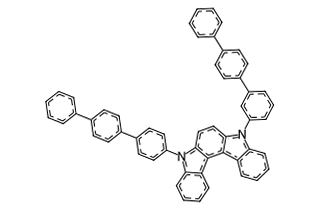 c1ccc(-c2ccc(-c3ccc(-n4c5ccccc5c5c6c7ccccc7n(-c7cccc(-c8ccc(-c9ccccc9)cc8)c7)c6ccc54)cc3)cc2)cc1